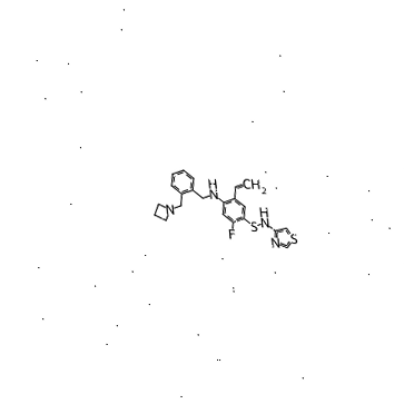 C=Cc1cc(SNc2cscn2)c(F)cc1NCc1ccccc1CN1CCC1